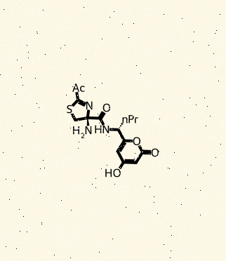 CCC[C@@H](NC(=O)[C@]1(N)CSC(C(C)=O)=N1)c1cc(O)cc(=O)o1